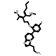 CCC/C=C(CNC)/C(CCOc1cc(F)ccc1-c1ccc2ncc(CCN)n2c1)=C(/C)NC